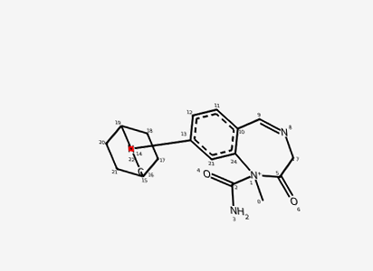 C[N+]1(C(N)=O)C(=O)[CH]N=Cc2ccc(N3CC4CCC(CC4)C3)cc21